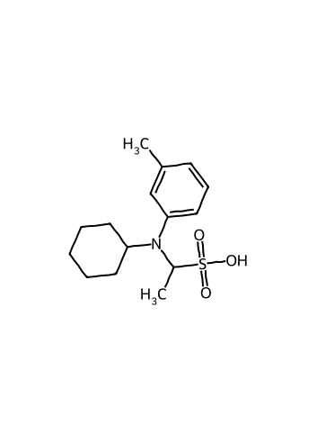 Cc1cccc(N(C2CCCCC2)C(C)S(=O)(=O)O)c1